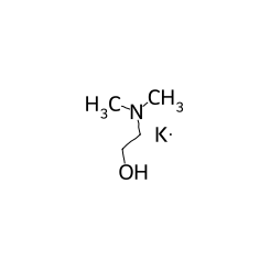 CN(C)CCO.[K]